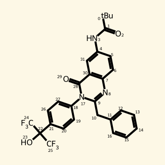 CC(C)(C)C(=O)Nc1ccc2nc(Cc3ccccc3)n(-c3ccc(C(O)(C(F)(F)F)C(F)(F)F)cc3)c(=O)c2c1